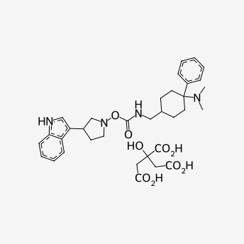 CN(C)C1(c2ccccc2)CCC(CNC(=O)ON2CCC(c3c[nH]c4ccccc34)C2)CC1.O=C(O)CC(O)(CC(=O)O)C(=O)O